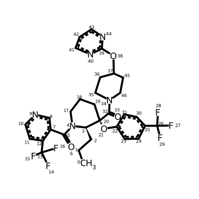 CCC[C@H]1N(C(=O)c2cnccc2C(F)(F)F)CCC[C@@]1(Oc1ccc(C(F)(F)F)cc1)C(=O)N1CCC(Oc2ncccn2)CC1